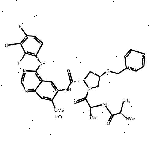 CN[C@@H](C)C(=O)N[C@H](C(=O)N1C[C@H](OCc2ccccc2)C[C@H]1C(=O)Nc1cc2c(Nc3ccc(F)c(Cl)c3F)ncnc2cc1OC)C(C)(C)C.Cl